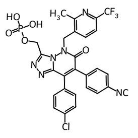 [C-]#[N+]c1ccc(-c2c(-c3ccc(Cl)cc3)c3nnc(COP(=O)(O)O)n3n(Cc3ccc(C(F)(F)F)nc3C)c2=O)cc1